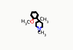 COc1ccccc1C1(C)CCN(C)CC1